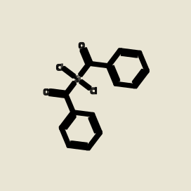 O=C(c1ccccc1)[Si](Cl)(Cl)C(=O)c1ccccc1